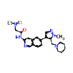 CCN(CC)CC(=O)Nc1cc2cc(-c3cnn(C)c3CN3CCCCC3)ccc2cn1